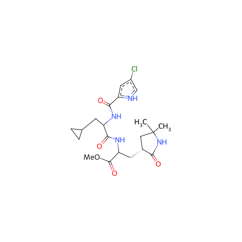 COC(=O)C(C[C@@H]1CC(C)(C)NC1=O)NC(=O)C(CC1CC1)NC(=O)c1cc(Cl)c[nH]1